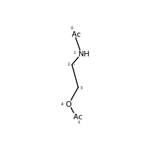 CC(=O)N[CH]COC(C)=O